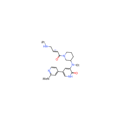 CCN(c1cc(-c2ccnc(NC)c2)c[nH]c1=O)C1CCCN(C(=O)/C=C/CNC(C)C)C1